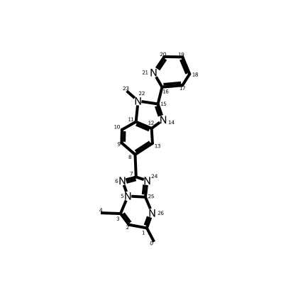 Cc1cc(C)n2nc(-c3ccc4c(c3)nc(-c3ccccn3)n4C)nc2n1